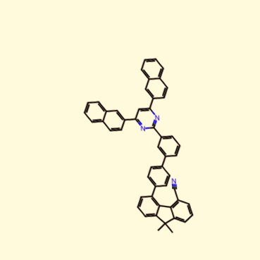 CC1(C)c2cccc(C#N)c2-c2c(-c3ccc(-c4cccc(-c5nc(-c6ccc7ccccc7c6)cc(-c6ccc7ccccc7c6)n5)c4)cc3)cccc21